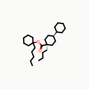 CCCCCC1(OC(=O)[C@]2(CCCC)CC[C@H](C3CCCCC3)CC2)CCCCC1